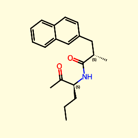 CCC[C@H](NC(=O)[C@@H](C)Cc1ccc2ccccc2c1)C(C)=O